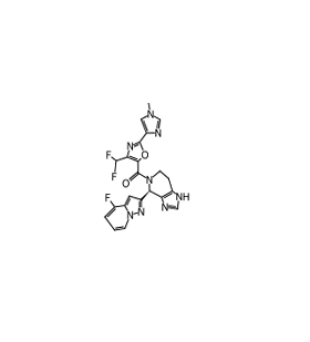 Cn1cnc(-c2nc(C(F)F)c(C(=O)N3CCc4[nH]cnc4[C@H]3c3cc4c(F)cccn4n3)o2)c1